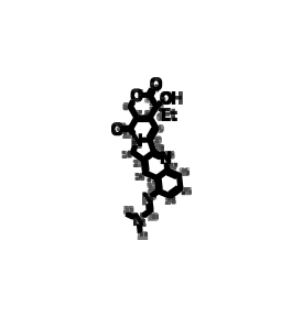 CC[C@@]1(O)C(=O)OCc2c1cc1n(c2=O)Cc2cc3c(N=CN(C)C)cccc3nc2-1